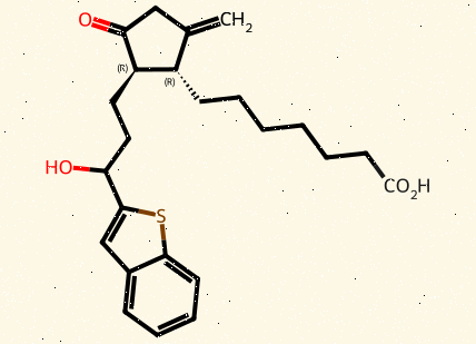 C=C1CC(=O)[C@H](CCC(O)c2cc3ccccc3s2)[C@H]1CCCCCCC(=O)O